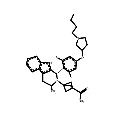 C[C@H]1Cc2c([nH]c3ccccc23)[C@H](c2c(F)cc(OC3CCN(CCCF)C3)cc2F)N1C12CC(C(N)=O)(C1)C2